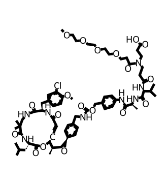 COCCOCCOCCOCCC(=O)N(CCC(=O)O)CCC(=O)N[C@H](C(=O)N[C@@H](C)C(=O)Nc1ccc(COC(=O)NCc2ccc([C@H]3O[C@@H]3[C@@H](C)[C@@H]3C/C=C/C(=O)N[C@H](Cc4ccc(OC)c(Cl)c4)C(=O)NCC(C)(C)C(=O)N[C@@H](CC(C)C)C(=O)O3)cc2)cc1)C(C)C